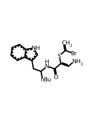 C=C(Br)S/C(=C\N)C(=O)NC(CCCC)Cc1c[nH]c2ccccc12